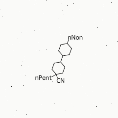 CCCCCCCCCC1CCC(C2CCC(C#N)(CCCCC)CC2)CC1